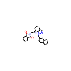 O=C1c2ccccc2C(=O)N1C/C=C1\CCCc2cnn(Cc3ccc4ccccc4c3)c21